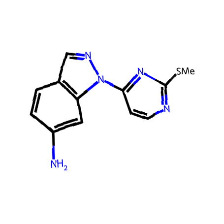 CSc1nccc(-n2ncc3ccc(N)cc32)n1